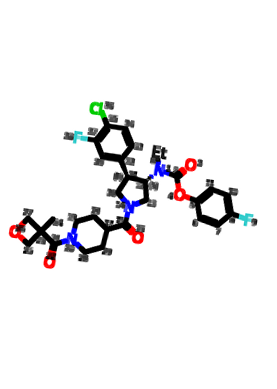 CCN(C(=O)Oc1ccc(F)cc1)[C@@H]1CN(C(=O)C2CCN(C(=O)C3(C)COC3)CC2)C[C@H]1c1ccc(Cl)c(F)c1